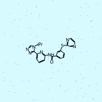 CC(C)n1cnnc1-c1cccc(NC(=O)c2cccc(Sc3cnccn3)c2)n1